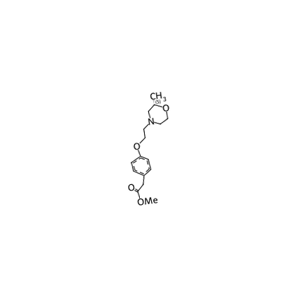 COC(=O)Cc1ccc(OCCN2CCO[C@@H](C)C2)cc1